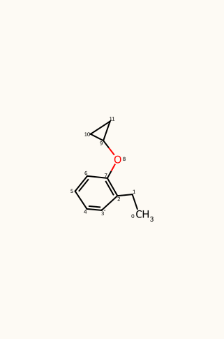 CCc1[c]cccc1OC1CC1